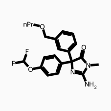 CCCOCc1cccc(C2(c3ccc(OC(F)F)cc3)N=C(N)N(C)C2=O)c1